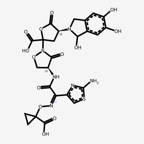 Nc1nc(/C(=N/OC2(C(=O)O)CC2)C(=O)N[C@H]2CON(C3(C(=O)O)C[C@H](N4Cc5cc(O)c(O)cc5C4O)C(=O)O3)C2=O)cs1